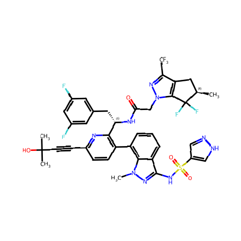 C[C@@H]1Cc2c(C(F)(F)F)nn(CC(=O)N[C@@H](Cc3cc(F)cc(F)c3)c3nc(C#CC(C)(C)O)ccc3-c3cccc4c(NS(=O)(=O)c5cn[nH]c5)nn(C)c34)c2C1(F)F